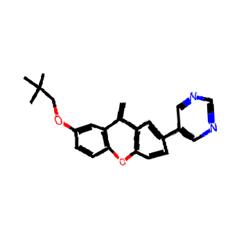 C=C1c2cc(OCC(C)(C)C)ccc2Oc2ccc(-c3cncnc3)cc21